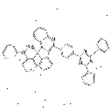 c1ccc(-c2nc(-c3ccccc3)nc(-c3ccc(-c4nc5ccccc5c5c4-c4ccccc4C54c5ccccc5N(c5ccccc5)c5ccccc54)cc3)n2)cc1